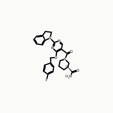 NC(=O)[C@H]1CCCN(C(=O)c2cnc(N3CCc4ccccc43)nc2OCc2ccc(F)cc2)C1